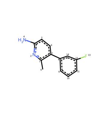 Cc1nc(N)ccc1-c1cccc(F)c1